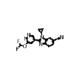 N#Cc1ccc2nc(-c3cnnc(OC(F)F)c3)n(C3CC3)c2c1